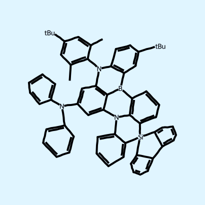 Cc1cc(C(C)(C)C)cc(C)c1N1c2ccc(C(C)(C)C)cc2B2c3cccc4c3N(c3ccccc3[Si]43c4ccccc4-c4ccccc43)c3cc(N(c4ccccc4)c4ccccc4)cc1c32